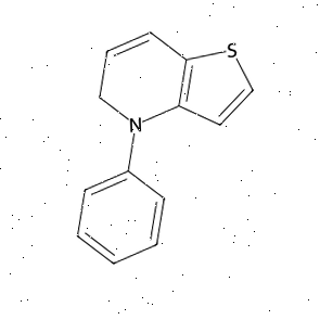 C1=Cc2sccc2N(c2ccccc2)C1